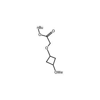 CCCCOC(=O)COC1CC(OC)C1